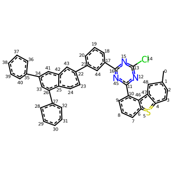 Cc1ccc2sc3cccc(-c4nc(Cl)nc(-c5cccc(-c6ccc7c(-c8ccccc8)cc(-c8ccccc8)cc7c6)c5)n4)c3c2c1